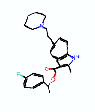 Cc1[nH]c2ccc(CCN3CCCCC3)cc2c1C(=O)OC(C)c1ccc(F)cc1